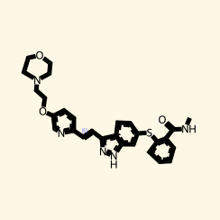 CNC(=O)c1ccccc1Sc1ccc2c(/C=C/c3ccc(OCCN4CCOCC4)cn3)n[nH]c2c1